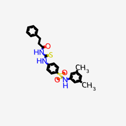 Cc1cc(C)cc(NS(=O)(=O)c2ccc(NC(=S)NC(=O)CCc3ccccc3)cc2)c1